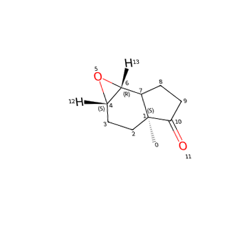 C[C@]12CC[C@@H]3O[C@@H]3C1CCC2=O